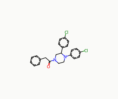 O=C(Cc1ccccc1)N1CCN(c2ccc(Cl)cc2)C(c2ccc(Cl)cc2)C1